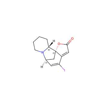 O=C1C=C2C(I)=C[C@@H]3C[C@@]2(O1)[C@H]1CCCCN31